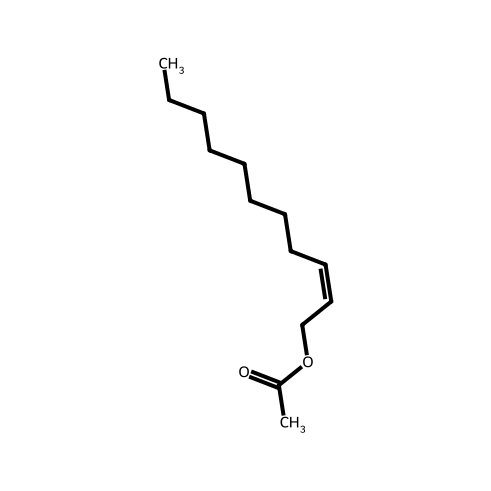 CCCCCCCC/C=C\COC(C)=O